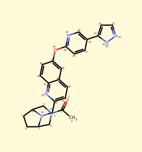 CC(=O)N1CC2CCC(C1)N2Cc1ccc2cc(Oc3ccc(-c4ccn[nH]4)cn3)ccc2n1